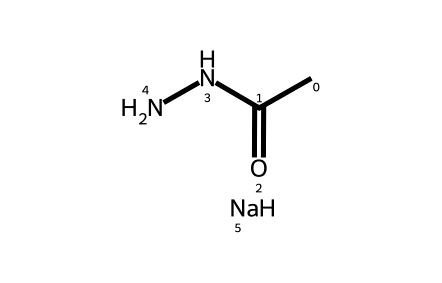 CC(=O)NN.[NaH]